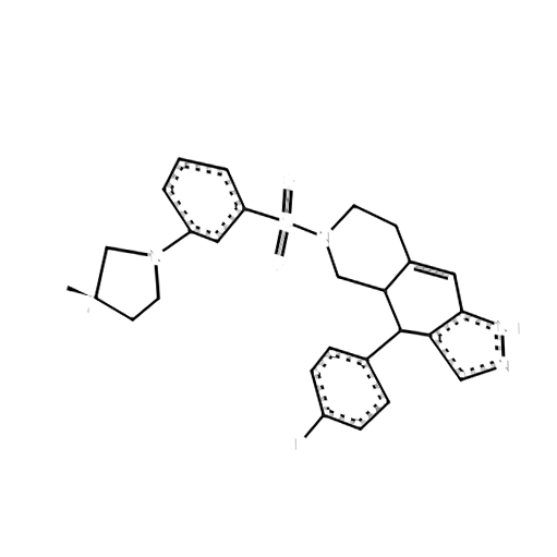 O=S(=O)(c1cccc(N2CC[C@@H](F)C2)c1)N1CCC2=Cc3[nH]ncc3C(c3ccc(F)cc3)C2C1